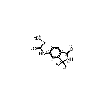 CC(C)(C)OC(=O)Nc1ccc2c(c1)C(C)(C)NC2=O